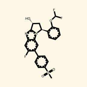 CS(=O)(=O)c1ccc(-c2cc3c(cc2F)nc2n3[C@H](c3ccccc3OC(F)F)C[C@H]2O)cc1